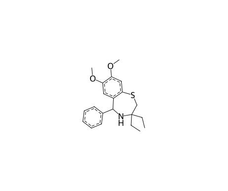 CCC1(CC)CSc2cc(OC)c(OC)cc2C(c2ccccc2)N1